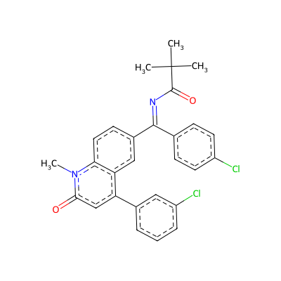 Cn1c(=O)cc(-c2cccc(Cl)c2)c2cc(/C(=N/C(=O)C(C)(C)C)c3ccc(Cl)cc3)ccc21